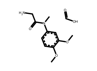 COc1ccc(N(C)C(=O)CN)cc1OC.O=CO